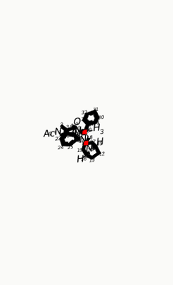 CC(=O)N1CC(C(=O)N[C@@H](CCN2[C@@H]3CC[C@H]2C[C@@H](n2c(C)nc4ccccc42)C3)c2ccccc2)C1